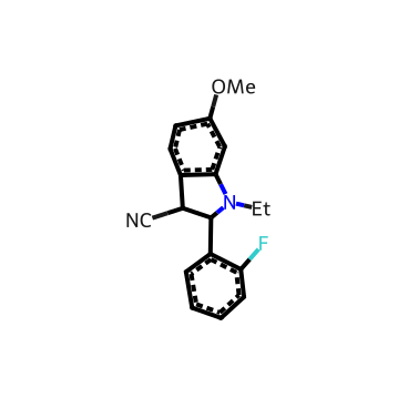 CCN1c2cc(OC)ccc2C(C#N)C1c1ccccc1F